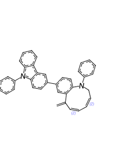 C=C1/C=C\C=C/CN(c2ccccc2)c2ccc(-c3ccc4c(c3)c3ccccc3n4-c3ccccc3)cc21